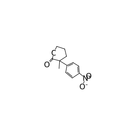 CC1(c2ccc([N+](=O)[O-])cc2)CCCCC1=O